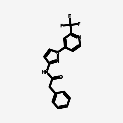 O=C(Cc1ccccc1)Nc1ccn(-c2ccnc(C(F)(F)F)c2)n1